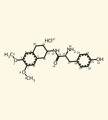 COc1cc2c(cc1OC)CC(NC(=O)[C@@H](N)Cc1ccc(O)cc1)CC2.Cl